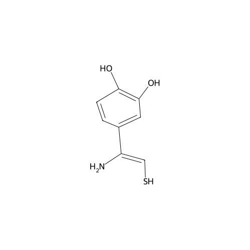 N/C(=C\S)c1ccc(O)c(O)c1